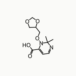 CC1(C)N=CC=C(C(=O)O)N1OCC1COCO1